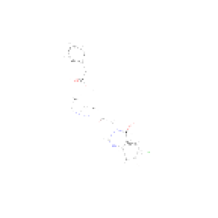 O=C(C[C@H]1NCC[C@@H]1OC(=O)Cc1ccccc1)Cn1cnc2cc(Br)c(Cl)cc2c1=O